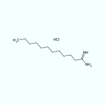 CCCCCCCCCCCC(=N)N.Cl